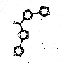 O=C(c1ccc(-c2ccsc2)s1)c1ccc(-c2ccsc2)s1